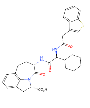 O=C(Cc1csc2ccccc12)N[C@H](C(=O)N[C@H]1CCc2cccc3c2N(C1=O)[C@H](C(=O)O)C3)C1CCCCC1